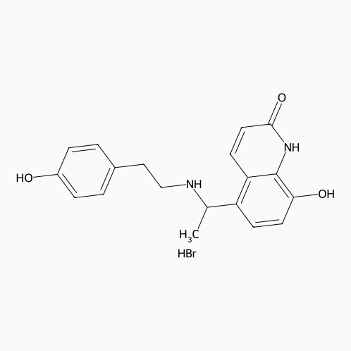 Br.CC(NCCc1ccc(O)cc1)c1ccc(O)c2[nH]c(=O)ccc12